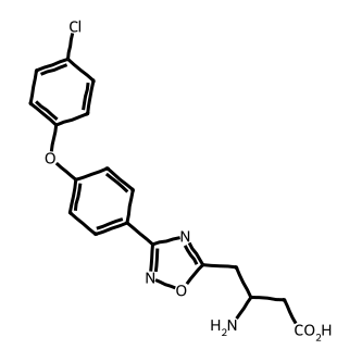 NC(CC(=O)O)Cc1nc(-c2ccc(Oc3ccc(Cl)cc3)cc2)no1